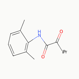 Cc1cccc(C)c1NC(=O)C(=O)C(C)C